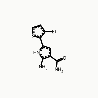 CCc1ccsc1-c1cc(C(N)=O)c(N)[nH]1